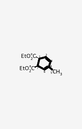 CCOC(=O)[C@@H]1C=CC(C)=C[C@H]1C(=O)OCC